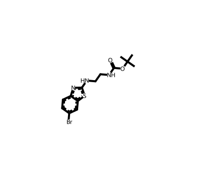 CC(C)(C)OC(=O)NCCNc1nc2ccc(Br)cc2s1